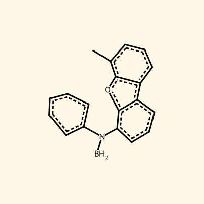 BN(c1ccccc1)c1cccc2c1oc1c(C)cccc12